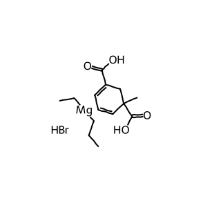 Br.CC1(C(=O)O)C=CC=C(C(=O)O)C1.CC[CH2][Mg][CH2]C